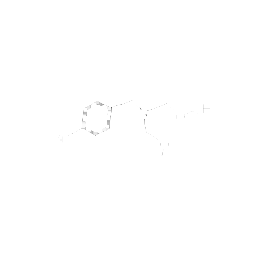 COCN(COC)Cc1ccc(Br)cc1